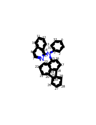 c1ccc(N(c2nccc3ccccc23)c2ccc3c4c(cccc24)-c2ccccc2-3)cc1